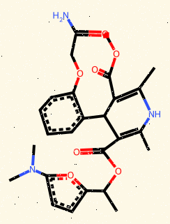 COC(=O)C1=C(C)NC(C)=C(C(=O)OC(C)c2ccc(N(C)C)o2)C1c1ccccc1OCC(N)=O